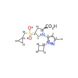 Cc1cc(N2C[C@H](S(=O)(=O)CC3CC3)C[C@H]2C(=O)O)n(C2CCC2)n1